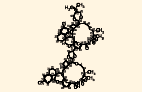 C[C@@H]1[C@@H](C)CCC[C@H](C2OCC(c3cc4cc5c3OC[C@]3(CCCc6cc(Cl)ccc63)CN5C[C@@H]3CC[C@H]3[C@@H]([C@H]3OC[C@@H](N(C)C)CO3)CCC[C@H](C)[C@@H](C)S(=O)(=O)NC4=O)O2)[C@@H]2CC[C@H]2CN2C[C@@]3(CCCc4cc(Cl)ccc43)COc3ccc(cc32)C(=O)NS1(=O)=O